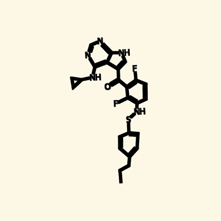 CCCc1ccc(SNc2ccc(F)c(C(=O)c3c[nH]c4ncnc(NC5CC5)c34)c2F)cc1